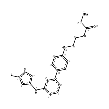 Cn1cc(Nc2nccc(-c3ccc(NCCNC(=O)OC(C)(C)C)cc3)n2)cn1